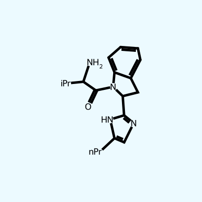 CCCc1cnc(C2Cc3ccccc3N2C(=O)C(N)C(C)C)[nH]1